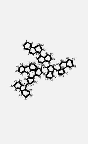 c1ccc2c(c1)ccc1c(-c3ccc(N(c4ccc(-c5ccc(-n6c7ccccc7c7ccccc76)cc5-n5c6ccccc6c6ccccc65)cc4)c4ccc(-c5cccc6c5ccc5ccccc56)c5ccccc45)c4ccccc34)cccc12